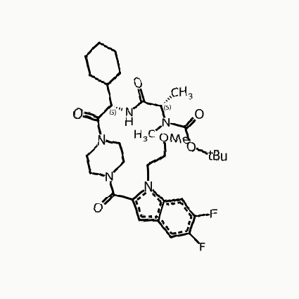 COCCn1c(C(=O)N2CCN(C(=O)[C@@H](NC(=O)[C@H](C)N(C)C(=O)OC(C)(C)C)C3CCCCC3)CC2)cc2cc(F)c(F)cc21